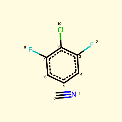 C#N.Fc1cccc(F)c1Cl